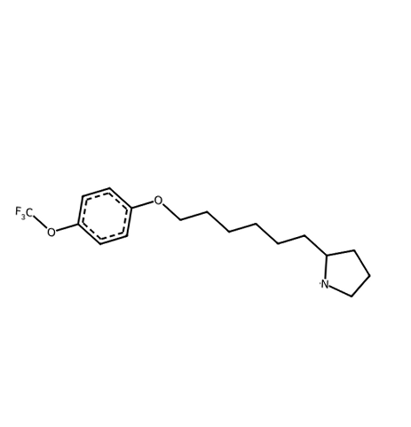 FC(F)(F)Oc1ccc(OCCCCCCC2CCC[N]2)cc1